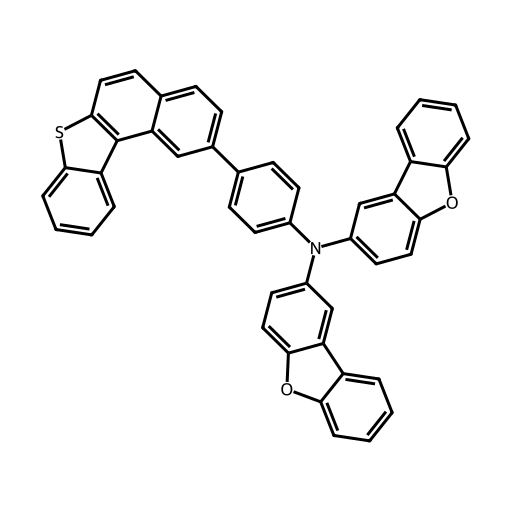 c1ccc2c(c1)oc1ccc(N(c3ccc(-c4ccc5ccc6sc7ccccc7c6c5c4)cc3)c3ccc4oc5ccccc5c4c3)cc12